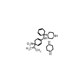 C1CNCCN1.CN(C)C1([N+](=O)[O-])C=CC(NC2(N3CCNCC3)C=CC=CC2)=CC1